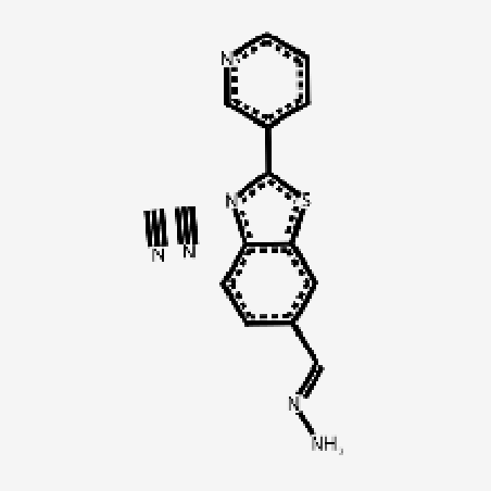 C#N.C#N.NN=Cc1ccc2nc(-c3cccnc3)sc2c1